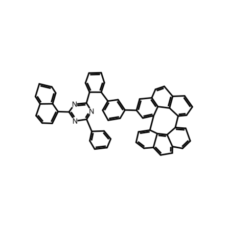 c1ccc(-c2nc(-c3ccccc3-c3cccc(-c4cc5ccc6cccc7c8cccc9ccc%10cccc(c(c4)c5c67)c%10c98)c3)nc(-c3cccc4ccccc34)n2)cc1